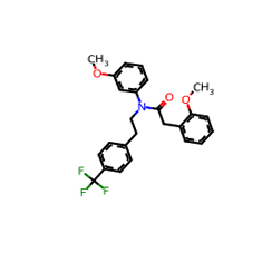 COc1cccc(N(CCc2ccc(C(F)(F)F)cc2)C(=O)Cc2ccccc2OC)c1